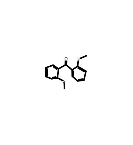 CSc1ccccc1C(=O)c1ccccc1SC